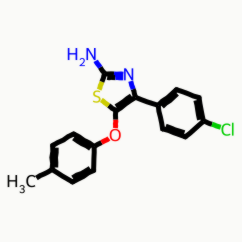 Cc1ccc(Oc2sc(N)nc2-c2ccc(Cl)cc2)cc1